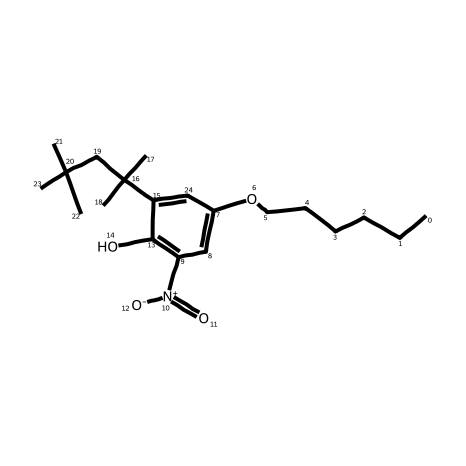 CCCCCCOc1cc([N+](=O)[O-])c(O)c(C(C)(C)CC(C)(C)C)c1